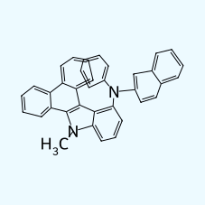 Cn1c2cccc(N(c3ccccc3)c3ccc4ccccc4c3)c2c2c3ccccc3c3ccccc3c21